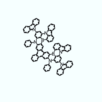 c1ccc(N2c3cc4c5ccccc5c5cc6c(cc5c4cc3B3c4c2cc(-n2c5ccccc5c5ccccc52)cc4-n2c4ccccc4c4cccc3c42)B2c3c(cc(-n4c5ccccc5c5ccccc54)cc3-n3c4ccccc4c4cccc2c43)N6c2ccccc2)cc1